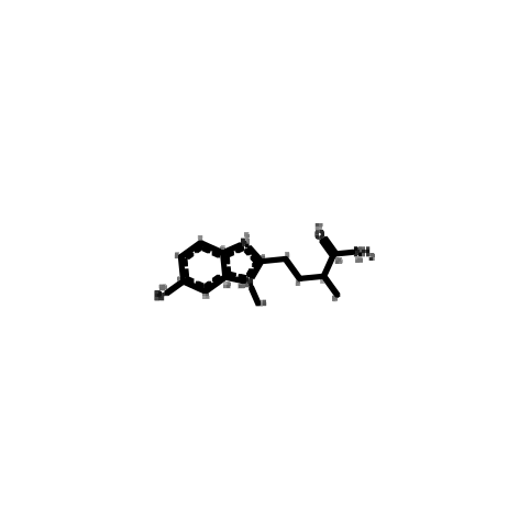 CC(CCc1nc2ccc(Br)cc2n1C)C(N)=O